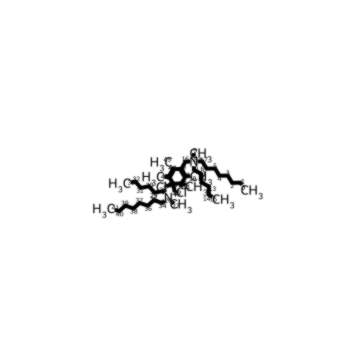 CCCCCCCC[N+](C)(CCCCCC)CC1=C(C)C(C)(Cl)C(Cl)(C[N+](C)(CCCCCC)CCCCCCCC)C(C)=C1C